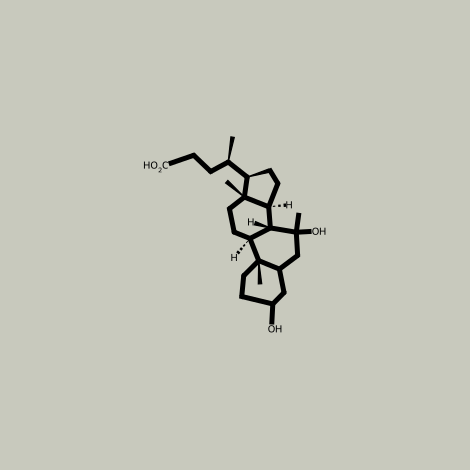 C[C@H](CCC(=O)O)[C@H]1CC[C@H]2[C@H]3[C@H](CC[C@]12C)[C@@]1(C)CCC(O)CC1CC3(C)O